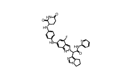 O=C1CCC(Nc2ccc(Bc3cc(F)c4cn(C(C(=O)Nc5ccccn5)c5ncn6c5CCC6)nc4c3)cc2)C(=O)N1